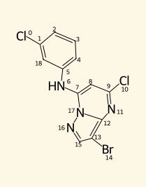 Clc1cccc(Nc2cc(Cl)nc3c(Br)cnn23)c1